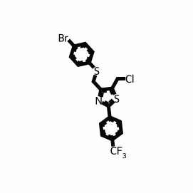 FC(F)(F)c1ccc(-c2nc(CSc3ccc(Br)cc3)c(CCl)s2)cc1